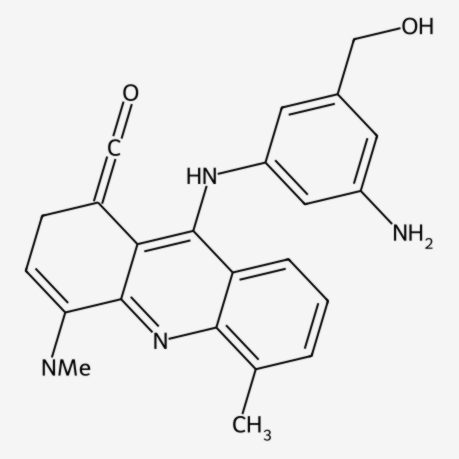 CNC1=CCC(=C=O)c2c1nc1c(C)cccc1c2Nc1cc(N)cc(CO)c1